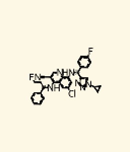 N#Cc1cnc2c(N[C@@H](c3ccc(F)cc3)c3cn(C4CC4)nn3)cc(Cl)cc2c1N[C@H](CCF)c1ccccc1